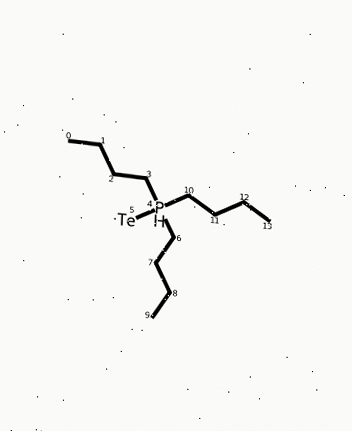 CCCC[PH]([Te])(CCCC)CCCC